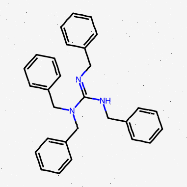 c1ccc(C/N=C(\NCc2ccccc2)N(Cc2ccccc2)Cc2ccccc2)cc1